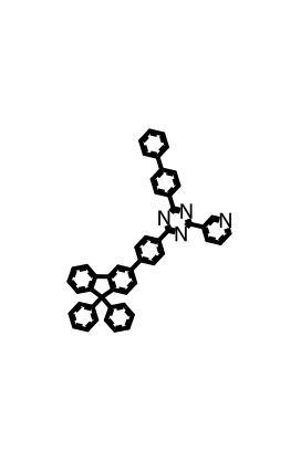 c1ccc(-c2ccc(-c3nc(-c4ccc(-c5ccc6c(c5)-c5ccccc5C6(c5ccccc5)c5ccccc5)cc4)nc(-c4cccnc4)n3)cc2)cc1